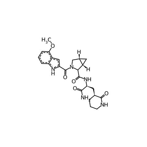 COc1cccc2[nH]c(C(=O)N3C[C@@H]4C[C@@H]4C3C(=O)N[C@@H](C[C@@H]3CCCNC3=O)C(N)=O)cc12